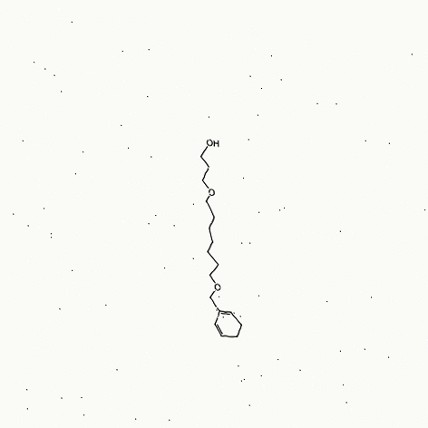 OCCCOCCCCCCCOCC1=CCCC=C1